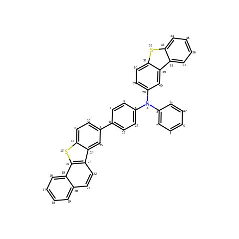 c1ccc(N(c2ccc(-c3ccc4sc5c6ccccc6ccc5c4c3)cc2)c2ccc3sc4ccccc4c3c2)cc1